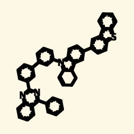 C1=Cc2c(c3cc(-c4ccc5sc6ccccc6c5c4)ccc3n2-c2cccc(-c3cccc(-c4nc(-c5ccccc5)c5ccccc5n4)c3)c2)CC1